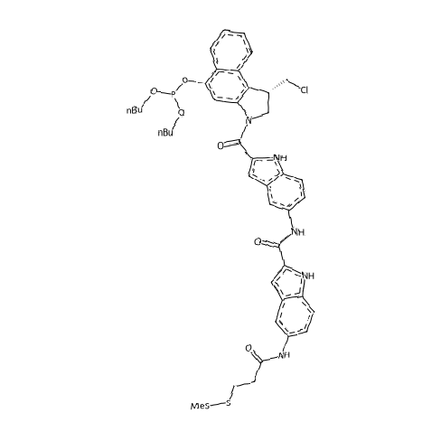 CCCCOP(OCCCC)Oc1cc2c(c3ccccc13)[C@H](CCl)CN2C(=O)c1cc2cc(NC(=O)c3cc4cc(NC(=O)CCSSC)ccc4[nH]3)ccc2[nH]1